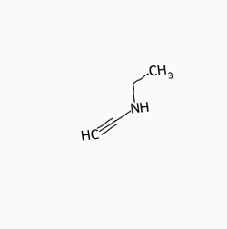 C#CNCC